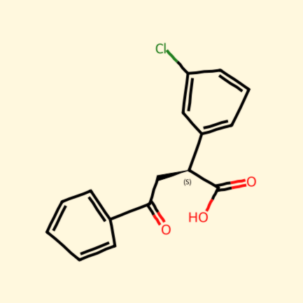 O=C(C[C@H](C(=O)O)c1cccc(Cl)c1)c1ccccc1